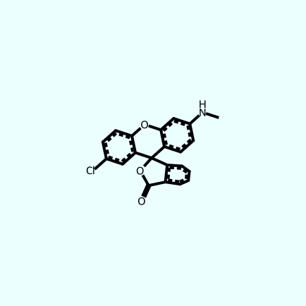 CNc1ccc2c(c1)Oc1ccc(Cl)cc1C21OC(=O)c2ccccc21